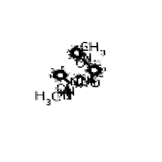 Cc1nnc([C@@H](c2ccccc2)N2CCN(C(=O)c3cccc(-c4nc5c(C)cccc5o4)c3)CC2)o1